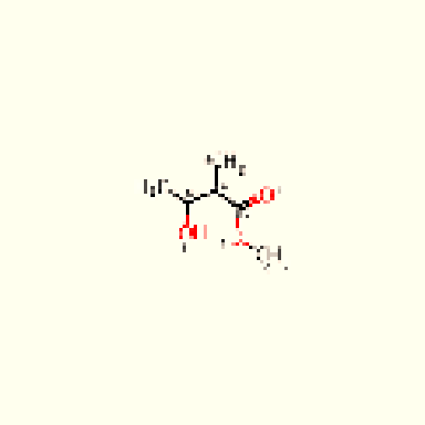 COC(=O)C(C)C(C)O